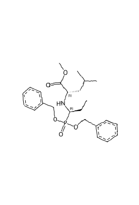 CC[C@H](N[C@@H](CC(C)C)C(=O)OC)P(=O)(OCc1ccccc1)OCc1ccccc1